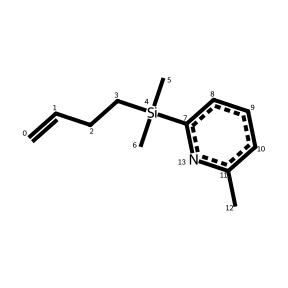 C=CCC[Si](C)(C)c1cccc(C)n1